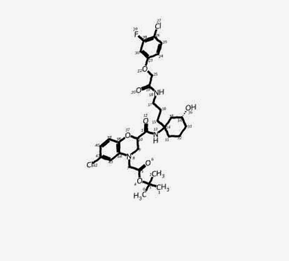 CC(C)(C)OC(=O)CN1CC(C(=O)NC2(CCCNC(=O)COc3ccc(Cl)c(F)c3)CCC[C@@H](O)C2)Oc2ccc(Cl)cc21